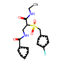 N#CCNC(=O)C(CNC(=O)c1ccccc1)S(=O)(=O)Cc1ccc(F)cc1